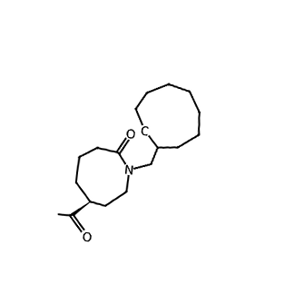 CC(=O)[C@H]1CCCC(=O)N(CC2CCCCCCCC2)CC1